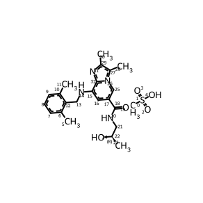 CS(=O)(=O)O.Cc1cccc(C)c1CNc1cc(C(=O)NC[C@@H](C)O)cn2c(C)c(C)nc12